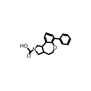 O=C(O)N1CC2CCOc3c(-c4ccccc4)cccc3C2C1